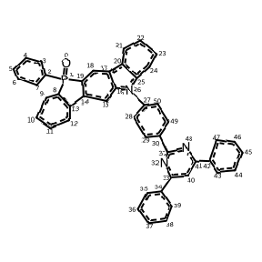 O=P1(c2ccccc2)c2ccccc2-c2cc3c(cc21)c1ccccc1n3-c1ccc(-c2nc(-c3ccccc3)cc(-c3ccccc3)n2)cc1